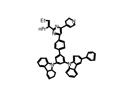 CC/C=C(\CCC)c1nc(C2=CC=NCC2)cc(-c2ccc(-c3cc(N4c5ccccc5C5C=CCCC54)cc(-n4c5ccccc5c5cc(-c6ccccc6)ccc54)c3)cc2)n1